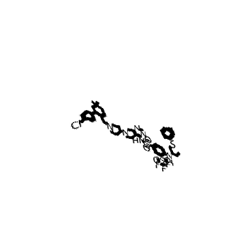 CCC(CSc1ccccc1)Nc1ccc(S(=O)(=O)Nc2ncnc3c2CCN(C2CCN(CC4=C(c5ccc(Cl)cc5)CC(C)(C)CC4)CC2)C3)cc1S(=O)(=O)C(F)(F)F